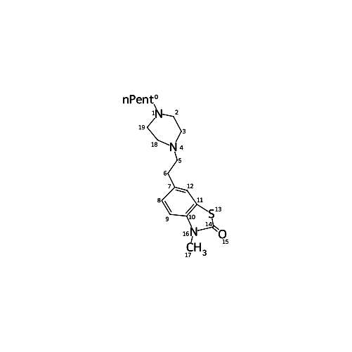 CCCCCN1CCN(CCc2ccc3c(c2)sc(=O)n3C)CC1